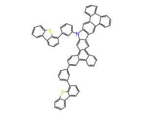 c1cc(-c2ccc3c(c2)c2ccccc2c2cc4c5cc6c7ccccc7c7ccccc7c6cc5n(-c5cccc(-c6cccc7c6sc6ccccc67)c5)c4cc32)cc(-c2cccc3c2sc2ccccc23)c1